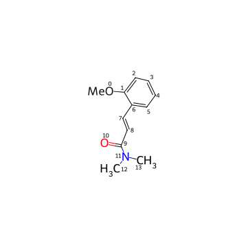 COc1ccccc1C=CC(=O)N(C)C